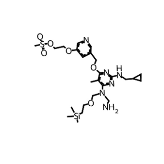 Cc1c(OCc2cncc(OCCOS(C)(=O)=O)c2)nc(NCC2CC2)nc1N(CN)COCC[Si](C)(C)C